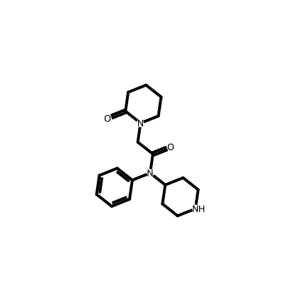 O=C1CCCCN1CC(=O)N(c1ccccc1)C1CCNCC1